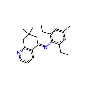 CCc1cc(C)cc(CC)c1N=C1CC(C)(C)Cc2ncccc21